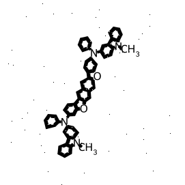 Cn1c2ccccc2c2cc(N(c3ccccc3)c3ccc4c(c3)oc3cc5cc6oc7cc(N(c8ccccc8)c8ccc9c(c8)c8ccccc8n9C)ccc7c6cc5cc34)ccc21